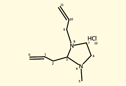 C=CCC1N(C)CCN1CC=C.Cl